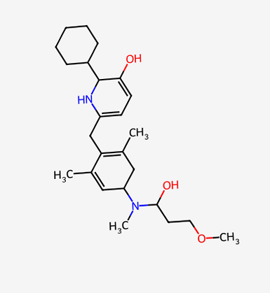 COCCC(O)N(C)C1C=C(C)C(CC2=CC=C(O)C(C3CCCCC3)N2)=C(C)C1